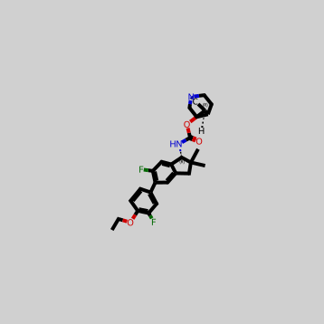 CCOc1ccc(-c2cc3c(cc2F)[C@H](NC(=O)O[C@H]2CN4CCC2CC4)C(C)(C)C3)cc1F